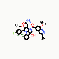 CCOc1c(CC(N)=O)cc([C@@](O)(CNC(=O)c2cc(OC)c3nnc(C4CC4)cc3c2)c2ccccc2)nc1-c1ccc(F)c(Cl)c1Cl